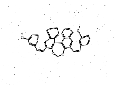 COc1cccc(/C=C\c2cc3ccccc3c3c2OCOc2c(/C=C\c4cccc(OC)c4)cc4ccccc4c2-3)c1